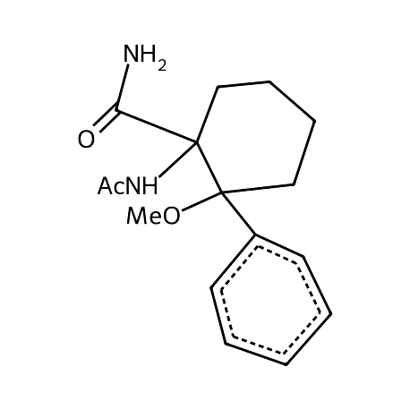 COC1(c2ccccc2)CCCCC1(NC(C)=O)C(N)=O